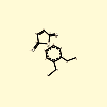 CCc1ccccc1CC.O=C1C=CC(=O)O1